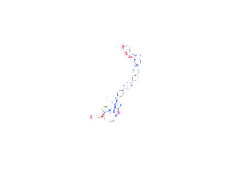 C[C@@]1(O)CC/C=C\Cn2c(=O)c3cnc(Nc4ccc(N5CCN(C6CCC7(CCN(c8ccnc(C(=O)NC9CCC(=O)NC9=O)c8)CC7)C6)CC5)cc4)nc3n2-c2cccc1n2